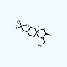 CCN1CC2(CCN(CC(C)(C)C)CC2)OCC1=O